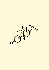 [CH2]C(=O)[C@H]1CC[C@H]2[C@@H]3CCC4=CC(=O)CC[C@]4(C)[C@H]3CC[C@]12C